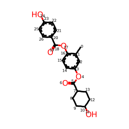 Cc1cc(OC(=O)C2CCC(O)CC2)ccc1OC(=O)c1ccc(O)cc1